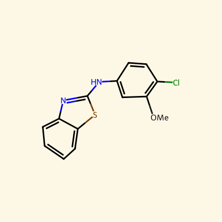 COc1cc(Nc2nc3ccccc3s2)ccc1Cl